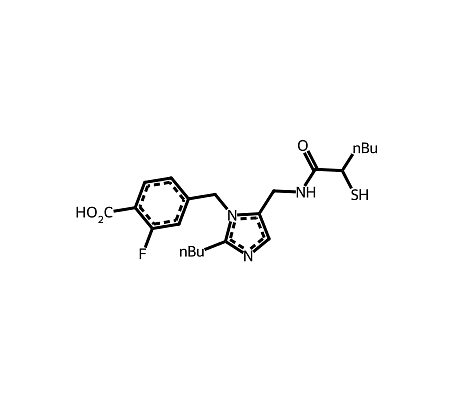 CCCCc1ncc(CNC(=O)C(S)CCCC)n1Cc1ccc(C(=O)O)c(F)c1